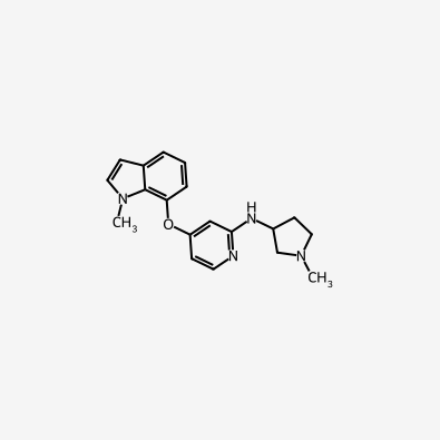 CN1CCC(Nc2cc(Oc3cccc4ccn(C)c34)ccn2)C1